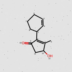 CC1=C(C2C=CCCC2)C(=O)CC1O